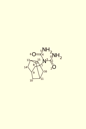 NC(=O)N(C(N)=O)C12CC3CC(CC(C3)C1)C2